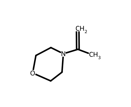 C=C(C)N1CCOCC1